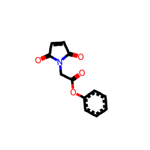 O=C(CN1C(=O)C=CC1=O)Oc1ccccc1